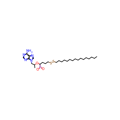 CCCCCCCCCCCCCCCCSSCCCC(OC(C)Cn1cnc2c(N)ncnc21)P(=O)=O